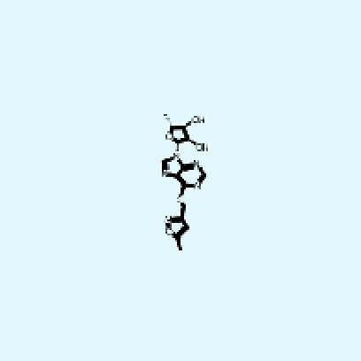 Cc1cc(CSc2ncnc3c2ncn3[C@@H]2O[C@H](C)[C@@H](O)[C@H]2O)no1